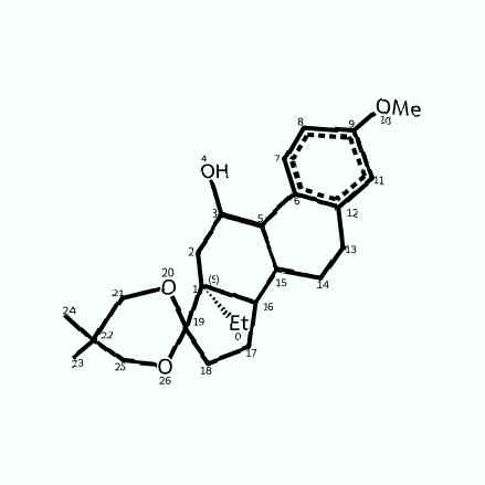 CC[C@]12CC(O)C3c4ccc(OC)cc4CCC3C1CCC21OCC(C)(C)CO1